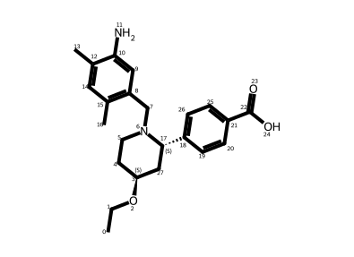 CCO[C@H]1CCN(Cc2cc(N)c(C)cc2C)[C@H](c2ccc(C(=O)O)cc2)C1